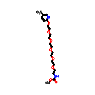 CC(C)(C)OC(=O)NCCOCCOCCOCCOCCOCCOc1ccc([N+](=O)[O-])cn1